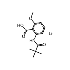 COc1cccc(NC(=O)C(C)(C)C)c1S(=O)O.[Li]